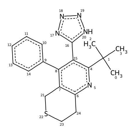 CC(C)(C)c1nc2c(c(-c3ccccc3)c1-c1nnn[nH]1)CSCC2